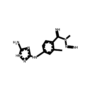 Cc1cc(Nc2n[nH]c(N)n2)ccc1C(=N)N(C)N=N